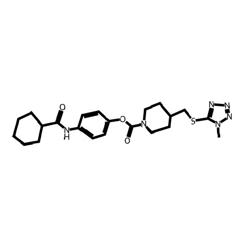 Cn1nnnc1SCC1CCN(C(=O)Oc2ccc(NC(=O)C3CCCCC3)cc2)CC1